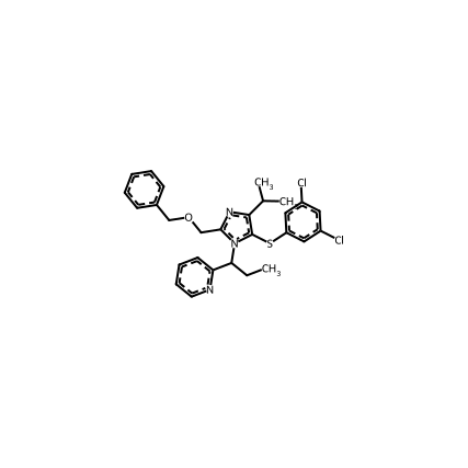 CCC(c1ccccn1)n1c(COCc2ccccc2)nc(C(C)C)c1Sc1cc(Cl)cc(Cl)c1